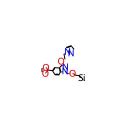 C[Si](C)(C)CCOCn1nc(OCCn2cccn2)c2cc(C3OCCO3)ccc21